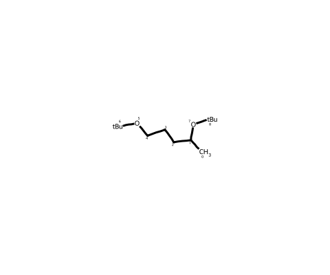 CC(CCCOC(C)(C)C)OC(C)(C)C